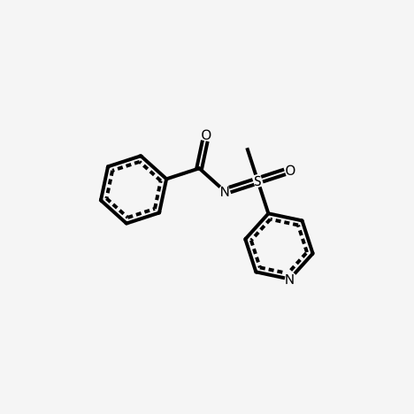 CS(=O)(=NC(=O)c1ccccc1)c1ccncc1